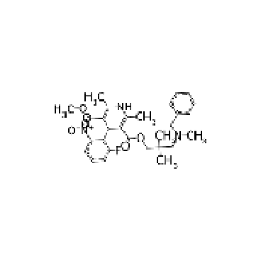 COC(=O)C1=C(C)NC(C)=C(C(=O)OCC(C)(C)CN(C)Cc2ccccc2)C1c1c(F)cccc1[N+](=O)[O-]